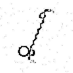 C=CN1CCN(CCCCCCCCCCN2CCN(C=C)C23CCCCCCCC3)C1